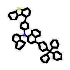 c1ccc(C(c2ccccc2)(c2ccccc2)c2ccc(-c3ccc(N(c4ccc(-c5cccc6sc7ccccc7c56)cc4)c4cccc5ccccc45)c4ccccc34)cc2)cc1